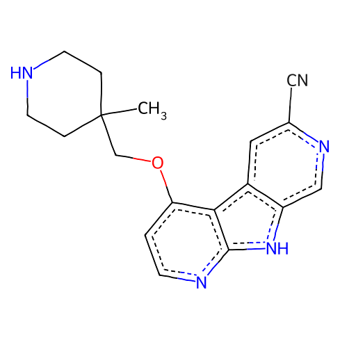 CC1(COc2ccnc3[nH]c4cnc(C#N)cc4c23)CCNCC1